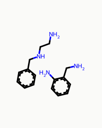 NCCNCc1ccccc1.NCc1ccccc1N